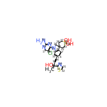 C[C@@](O)(C#Cc1ccc2c(c1)N(c1nc(N)ncc1Cl)CC21CCS(O)(O)CC1)c1nccs1